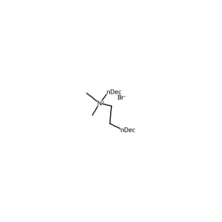 CCCCCCCCCCCC[N+](C)(C)CCCCCCCCCC.[Br-]